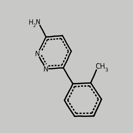 Cc1ccccc1-c1ccc(N)nn1